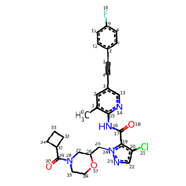 Cc1cc(C#Cc2ccc(F)cc2)cnc1NC(=O)c1c(Cl)cnn1CC1CN(C(=O)C2CCC2)CCO1